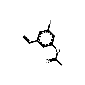 C=Cc1cc(I)cc(OC(C)=O)c1